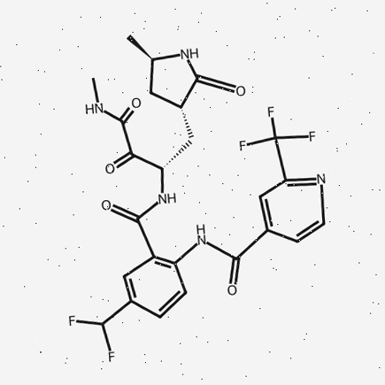 CNC(=O)C(=O)[C@H](C[C@@H]1C[C@@H](C)NC1=O)NC(=O)c1cc(C(F)F)ccc1NC(=O)c1ccnc(C(F)(F)F)c1